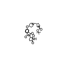 CC(C)(C)OC(=O)N1CCC(CN2CCC(Oc3ccc4c(c3)C(=O)N(C3CCC(=O)NC3=O)C4=O)CC2)C1